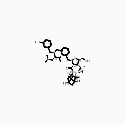 CC(C)[C@@H](CN(C)C)N(Cc1cccc(O)c1)Cc1cccc(CN2O[C@@H](CO)[C@@H]([C@H](C)O)[C@H]2C(=O)N[C@H]2C[C@H]3C[C@@H]([C@@H]2C)C3(C)C)c1